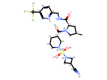 C[C@@H]1C[C@H](C(=O)NCc2ccc(C(F)(F)F)cn2)N(C(=O)[C@H]2CCCN(S(=O)(=O)N3CC(C#N)C3)C2)C1